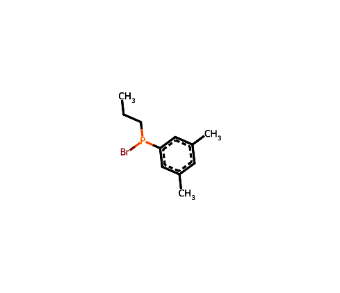 CCCP(Br)c1cc(C)cc(C)c1